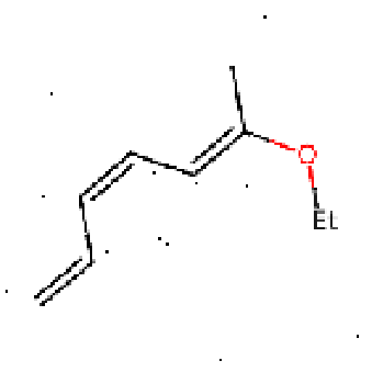 C=C/C=C\C=C(/C)OCC